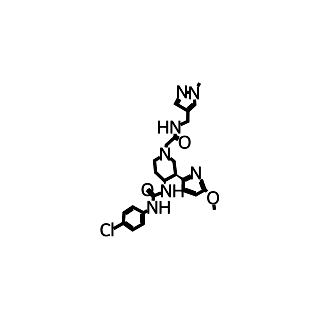 COc1ccc([C@@H]2CN(CC(=O)NCc3cnn(C)c3)CC[C@H]2NC(=O)Nc2ccc(Cl)cc2)nc1